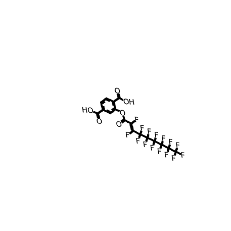 O=C(Oc1cc(C(=O)O)ccc1C(=O)O)C(F)=C(F)C(F)(F)C(F)(F)C(F)(F)C(F)(F)C(F)(F)C(F)(F)F